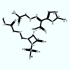 COC(=O)COC[C@H]1[C@H](NC(=O)/C(=N\OCC(=O)O)C2=CNC(N)S2)C(=O)N1S(=O)(=O)O